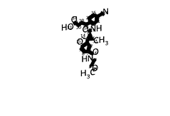 COCCNC(=O)c1ccc2c(c1)[C@@]1(CO2)[C@H](C(=O)Nc2cc(C#N)ccc2CCCC(=O)O)[C@@H]1C